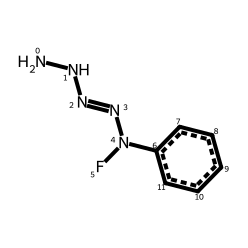 NNN=NN(F)c1ccccc1